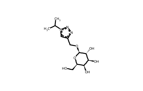 CC(C)n1cc(CO[C@@H]2O[C@H](CO)[C@H](O)[C@H](O)[C@H]2O)nn1